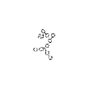 c1ccc(-c2ccc(N(c3ccc(-c4ccccc4)cc3)c3ccc(-c4ccc(-c5ccccc5-c5ccc6c(c5)-c5ccccc5C65C6CC7CC(C6)CC5C7)cc4)cc3)cc2)cc1